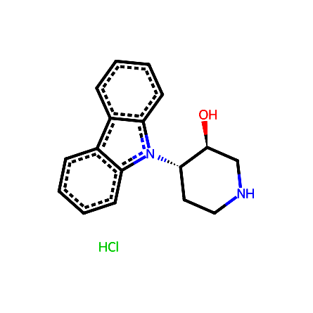 Cl.O[C@H]1CNCC[C@@H]1n1c2ccccc2c2ccccc21